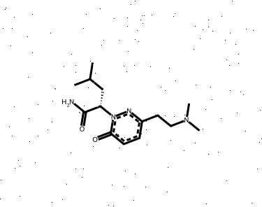 CC(C)C[C@@H](C(N)=O)n1nc(CCN(C)C)ccc1=O